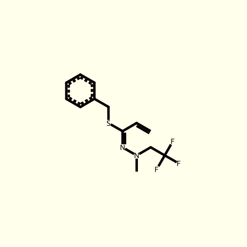 C=C/C(=N\N(C)CC(F)(F)F)SCc1ccccc1